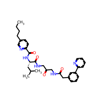 CCCCc1ccc(C(=O)N[C@@H](CC(C)C)C(=O)NCC(=O)CNC(=O)Cc2cccc(-c3ccccn3)c2)nc1